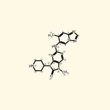 Cc1cc2ncnn2cc1Nc1ncc2c(n1)n(C1CCNCC1)c(=O)n2C